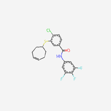 O=C(Nc1cc(F)c(F)c(F)c1)c1ccc(Cl)c(SC2CCC=CCC2)c1